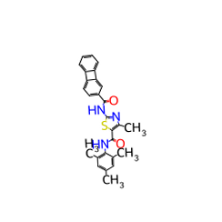 Cc1cc(C)c(NC(=O)c2sc(NC(=O)c3ccc4c(c3)-c3ccccc3-4)nc2C)c(C)c1